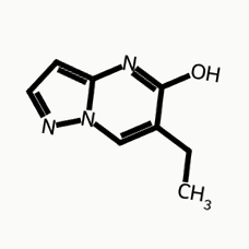 CCc1cn2nccc2nc1O